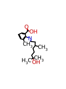 Cc1cccc(C(=O)O)c1N=CCC(C)CCCC(C)(C)O